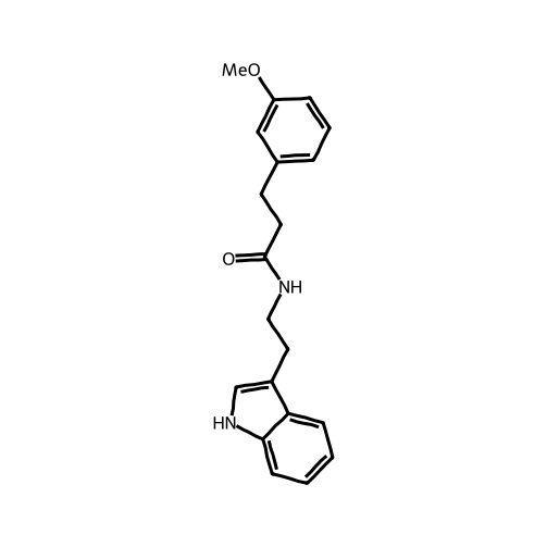 COc1cccc(CCC(=O)NCCc2c[nH]c3ccccc23)c1